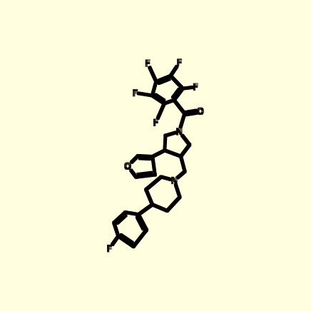 O=C(c1c(F)c(F)c(F)c(F)c1F)N1CC(CN2CCC(c3ccc(F)cc3)CC2)C(c2ccoc2)C1